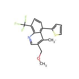 [CH2]c1c(COC)cnc2c(C(F)(F)F)ccc(-c3cccs3)c12